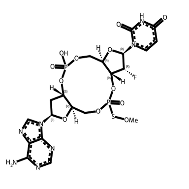 COSP1(=O)OC[C@H]2O[C@@H](n3cnc4c(N)ncnc43)C[C@@H]2OP(=O)(O)OC[C@H]2O[C@@H](n3ccc(=O)[nH]c3=O)[C@H](F)[C@@H]2O1